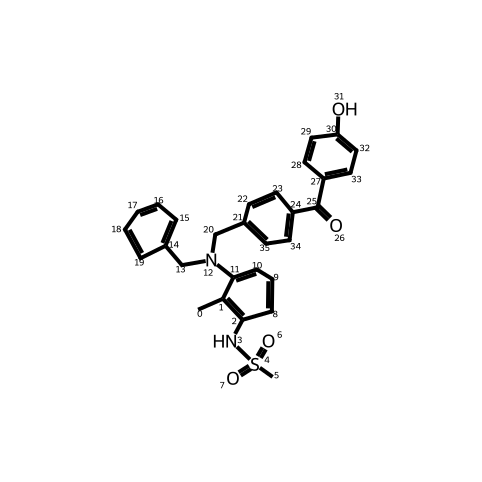 Cc1c(NS(C)(=O)=O)cccc1N(Cc1ccccc1)Cc1ccc(C(=O)c2ccc(O)cc2)cc1